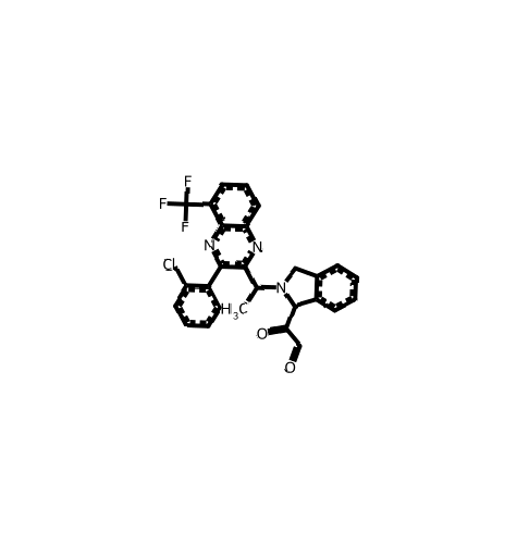 CC(c1nc2cccc(C(F)(F)F)c2nc1-c1ccccc1Cl)N1Cc2ccccc2C1C(=O)C=O